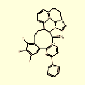 C=C1C2C(CCc3c(cc(F)c(F)c3F)-c3cc(-c4ccccc4)cc[n+]31)c1cccc3c1C1N(C=CN21)CC3